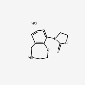 Cl.O=C1OCCN1c1cccc2c1OCCNC2